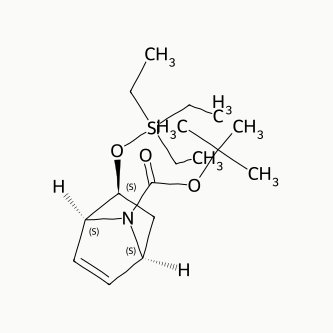 CC[Si](CC)(CC)O[C@H]1C[C@H]2C=C[C@@H]1N2C(=O)OC(C)(C)C